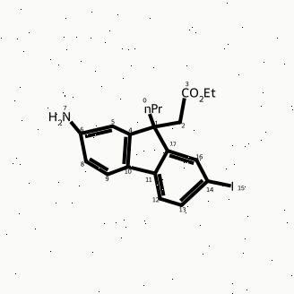 CCCC1(CC(=O)OCC)c2cc(N)ccc2-c2ccc(I)cc21